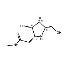 CNC(=O)C[C@@H]1N[C@H](CO)[C@H](O)[C@@H]1O